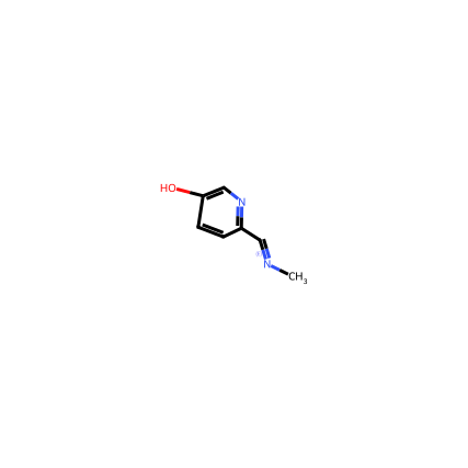 C/N=C/c1ccc(O)cn1